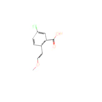 COC=Cc1ccc(Cl)cc1C(=O)O